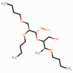 CCCCOC[C@H](OCCCC)[C@H](OP)OC(CO)[C@H](C)OCCCC